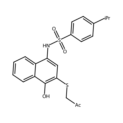 CC(=O)CSc1cc(NS(=O)(=O)c2ccc(C(C)C)cc2)c2ccccc2c1O